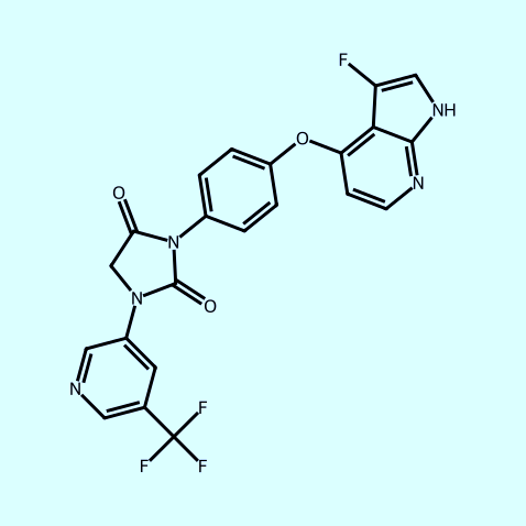 O=C1CN(c2cncc(C(F)(F)F)c2)C(=O)N1c1ccc(Oc2ccnc3[nH]cc(F)c23)cc1